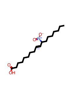 CCCCCCCC(/C=C/CCCCCCCC(=O)O)[N+](=O)[O-]